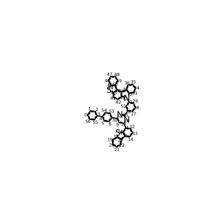 c1ccc(-c2ccc(-c3cc(-c4cccc5c4sc4ccccc45)nc(-c4cccc(-n5c6ccccc6c6c7c(ccc65)sc5ccccc57)c4)n3)cc2)cc1